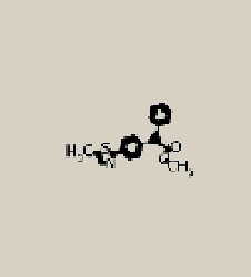 COC(=O)[C@@H]1[C@H](c2ccccc2)[C@H]1c1ccc(-c2ncc(C)s2)cc1